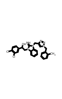 Cc1ccccc1Cn1cc(Cn2c(=N)n(CC(O)c3ccc(Cl)c(Cl)c3)c3ccccc32)nn1